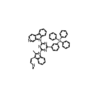 C=N/C=C\c1c(C)n(-c2nc(-c3cccc([Si](c4ccccc4)(c4ccccc4)c4ccccc4)c3)nc(-n3c4ccccc4c4ccncc43)n2)c2ccccc12